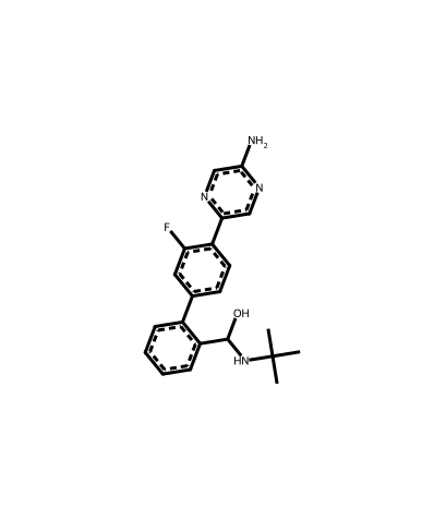 CC(C)(C)NC(O)c1ccccc1-c1ccc(-c2cnc(N)cn2)c(F)c1